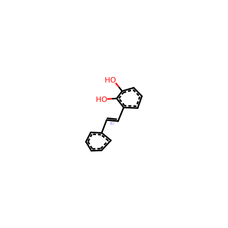 Oc1cccc(/C=C/c2ccccc2)c1O